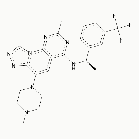 Cc1nc(N[C@H](C)c2cccc(C(F)(F)F)c2)c2cc(N3CCN(C)CC3)c3nncn3c2n1